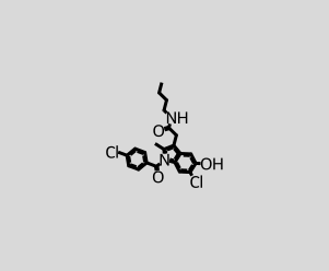 CCCCNC(=O)Cc1c(C)n(C(=O)c2ccc(Cl)cc2)c2cc(Cl)c(O)cc12